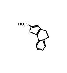 O=C(O)c1cc2c(s1)-c1ccccc1CC2